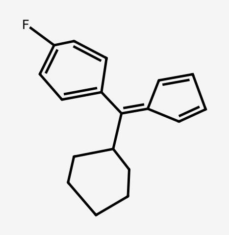 Fc1ccc(C(=C2C=CC=C2)C2CCCCC2)cc1